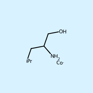 CC(C)CC(N)CO.[Co]